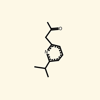 CC(=O)Cc1cccc(C(C)C)n1